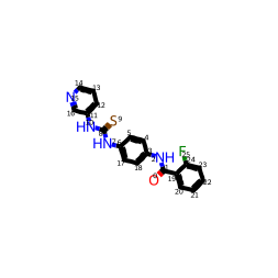 O=C(Nc1ccc(NC(=S)Nc2cccnc2)cc1)c1ccccc1F